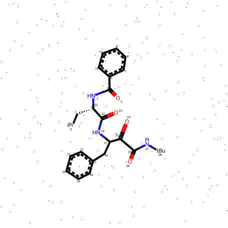 CC(C)C[C@H](NC(=O)c1ccccc1)C(=O)NC(Cc1ccccc1)C(=O)C(=O)NC(C)(C)C